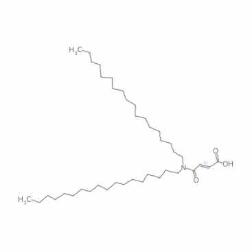 CCCCCCCCCCCCCCCCCCN(CCCCCCCCCCCCCCCCCC)C(=O)/C=C/C(=O)O